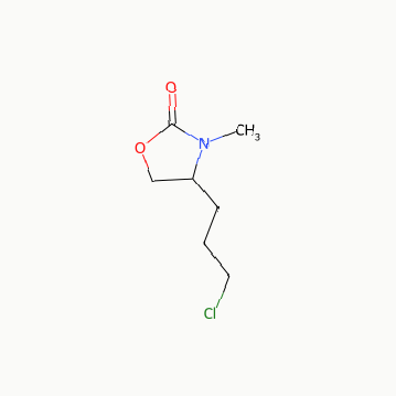 CN1C(=O)OCC1CCCCl